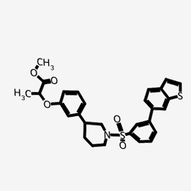 COC(=O)C(C)Oc1cccc(C2CCCN(S(=O)(=O)c3cccc(-c4ccc5ccsc5c4)c3)C2)c1